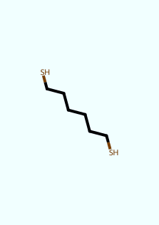 SCCCCCCS